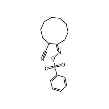 N#CC1CCCCCCCC/C1=N/OS(=O)(=O)c1ccccc1